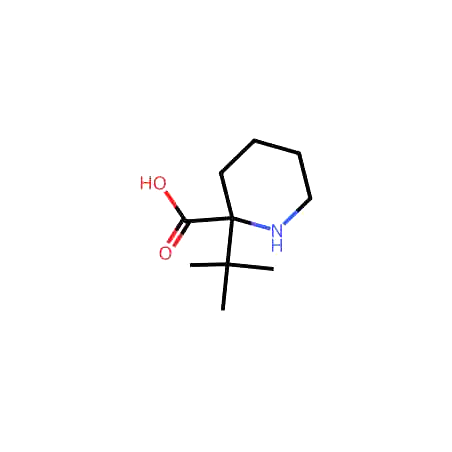 CC(C)(C)C1(C(=O)O)CCCCN1